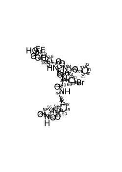 CC(C)(C)C(NC(=O)c1cc2cc(C(F)(F)P(=O)(O)O)ccc2s1)C(=O)N1C[C@H](OCc2ccccc2)C[C@H]1C(=O)N(CCC(=O)NCC#Cc1cccc2c1CN(C1CCC(=O)NC1=O)C2=O)c1ccc(Br)cc1